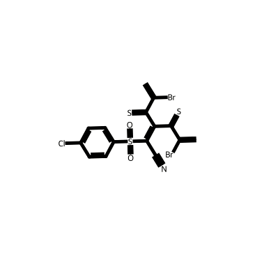 C=C(Br)C(=S)C(C(=S)C(=C)Br)=C(C#N)S(=O)(=O)c1ccc(Cl)cc1